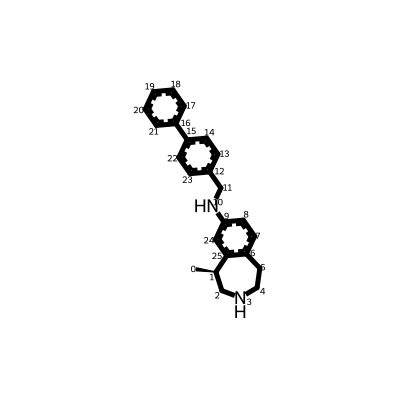 C[C@@H]1CNCCc2ccc(NCc3ccc(-c4ccccc4)cc3)cc21